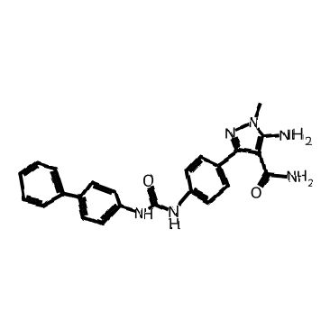 Cn1nc(-c2ccc(NC(=O)Nc3ccc(-c4ccccc4)cc3)cc2)c(C(N)=O)c1N